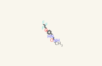 CCNC(=O)CNCc1ccc(OCC(F)C(F)CF)cc1